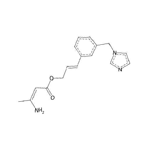 C/C(N)=C/C(=O)OC/C=C/c1cccc(Cn2ccnc2)c1